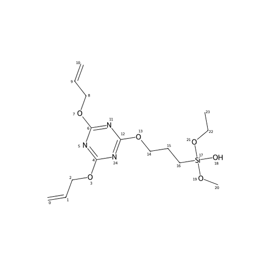 C=CCOc1nc(OCC=C)nc(OCCC[Si](O)(OC)OCC)n1